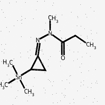 CCC(=O)N(C)N=C1C[CH]1[Sn]([CH3])([CH3])[CH3]